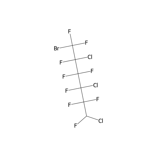 FC(Cl)C(F)(F)C(F)(Cl)C(F)(F)C(F)(Cl)C(F)(F)Br